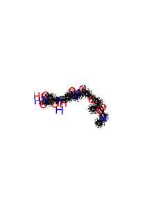 O=C(OCC1CCN(Cc2ccccc2)CC1)C(c1ccccc1)c1cccc(OCc2ccc(C(=O)N3CC4(CCCN(C(=O)c5ccc(CCNC[C@H](O)c6ccc(O)c7[nH]c(=O)ccc67)cc5)C4)C3)cc2)c1